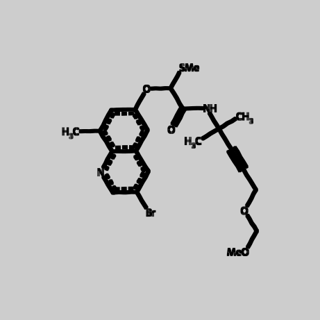 COCOCC#CC(C)(C)NC(=O)C(Oc1cc(C)c2ncc(Br)cc2c1)SC